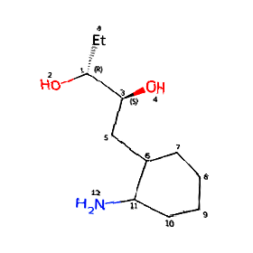 CC[C@@H](O)[C@@H](O)CC1CCCCC1N